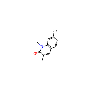 CCc1ccc2cc(C)c(=O)n(C)c2c1